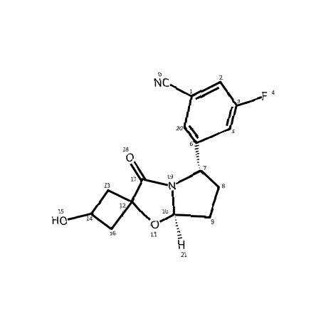 N#Cc1cc(F)cc([C@@H]2CC[C@H]3OC4(CC(O)C4)C(=O)N32)c1